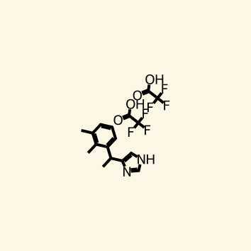 Cc1cccc(C(C)c2c[nH]cn2)c1C.O=C(O)C(F)(F)F.O=C(O)C(F)(F)F